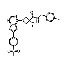 COC1(C(=O)NCc2ccc(C)cc2)CN(c2ncnn3cc(-c4ccc(S(C)(=O)=O)cc4)cc23)C1